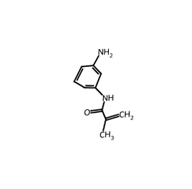 C=C(C)C(=O)Nc1cccc(N)c1